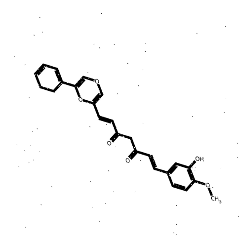 COc1ccc(/C=C/C(=O)CC(=O)/C=C/C2=COC=C(C3=CC=CCC3)O2)cc1O